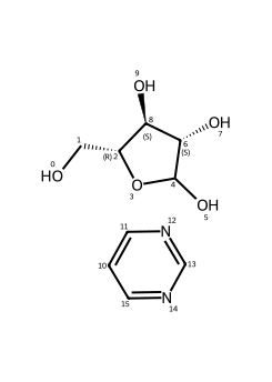 OC[C@H]1OC(O)[C@@H](O)[C@@H]1O.c1cncnc1